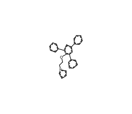 c1ccc(-c2cc(-c3ccccc3)c(OCCn3cccc3)c(-c3ccccc3)c2)cc1